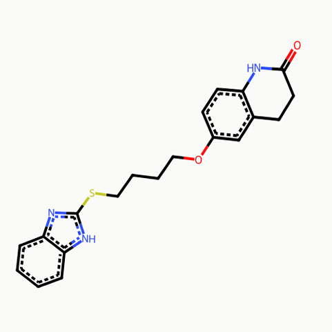 O=C1CCc2cc(OCCCCSc3nc4ccccc4[nH]3)ccc2N1